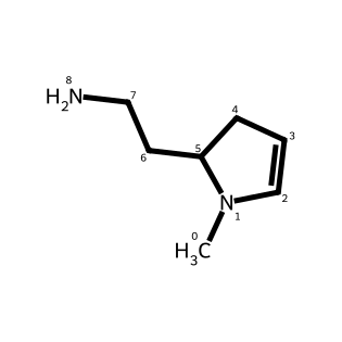 CN1C=CCC1CCN